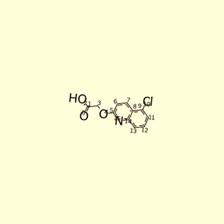 O=C(O)COc1ccc2c(Cl)cccc2n1